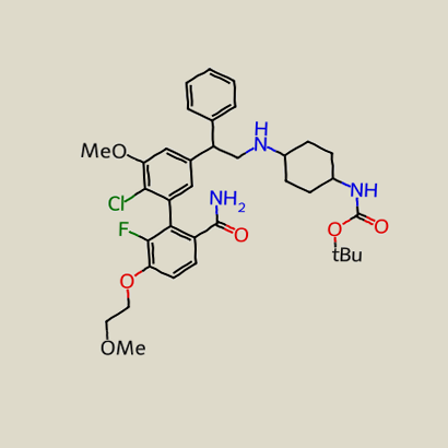 COCCOc1ccc(C(N)=O)c(-c2cc(C(CNC3CCC(NC(=O)OC(C)(C)C)CC3)c3ccccc3)cc(OC)c2Cl)c1F